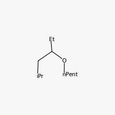 [CH2]CC(CC(C)C)OCCCCC